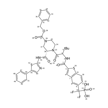 CC(C)(C)C(NC(=O)c1cc2cc(C(F)(F)P(=O)(O)O)ccc2s1)C(=O)N1CCN(C(=O)OCc2ccccc2)C[C@H]1C(=O)Nc1ncc(-c2ccccc2)s1